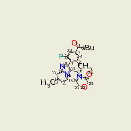 CCC(C)C(=O)c1cc(C)c(-c2nc3cc(C)ccn3c2CN2CCOCC2=O)c(F)c1